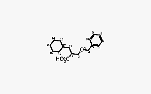 O=C(O)[C@H](COCc1ccccc1)CC1CCCCC1